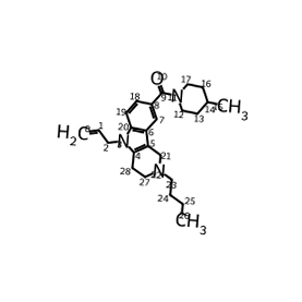 C=CCn1c2c(c3cc(C(=O)N4CCC(C)CC4)ccc31)CN(CCCC)CC2